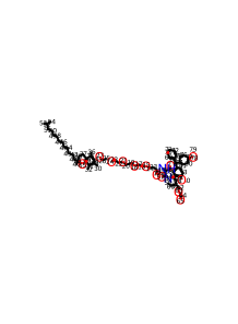 COc1ccc(C(OCC(NC(=O)CCOCCOCCOCCOCCOc2c(C)c(C)c3c(c2C)CCC(C)(CCCCCCCCCCCC(C)C)O3)C(=O)N2CCC(COC=O)CC2)(c2ccccc2)c2ccc(OC)cc2)cc1